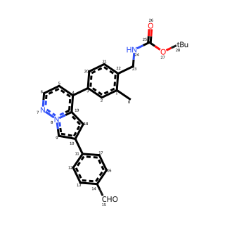 Cc1cc(-c2ccnn3cc(-c4ccc(C=O)cc4)cc23)ccc1CNC(=O)OC(C)(C)C